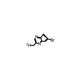 [2H]Cc1cnc2ccc(Br)cc2n1